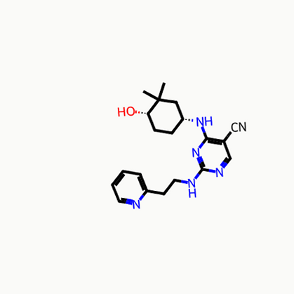 CC1(C)C[C@H](Nc2nc(NCCc3ccccn3)ncc2C#N)CC[C@@H]1O